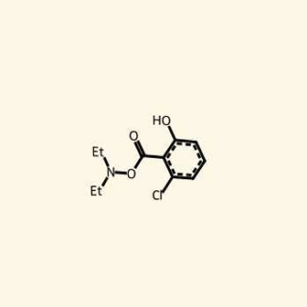 CCN(CC)OC(=O)c1c(O)cccc1Cl